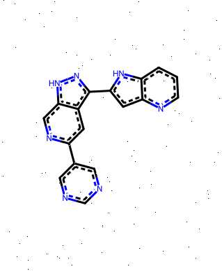 c1cnc2cc(-c3n[nH]c4cnc(-c5cncnc5)cc34)[nH]c2c1